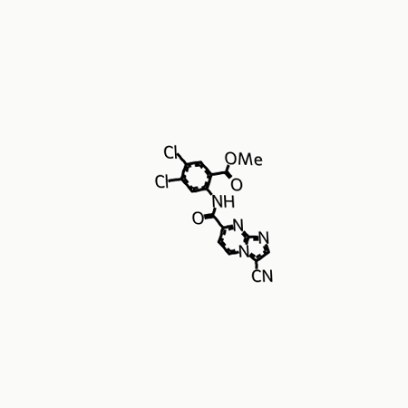 COC(=O)c1cc(Cl)c(Cl)cc1NC(=O)c1ccn2c(C#N)cnc2n1